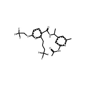 CC(=O)Nc1cc(C(C)NC(=O)c2ccc(OCC(F)(F)F)nc2CCCC(F)(F)F)cc(C)n1